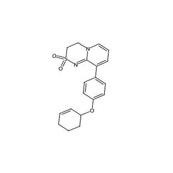 O=S1(=O)CCN2C=CC=C(c3ccc(OC4C=CCCC4)cc3)C2=N1